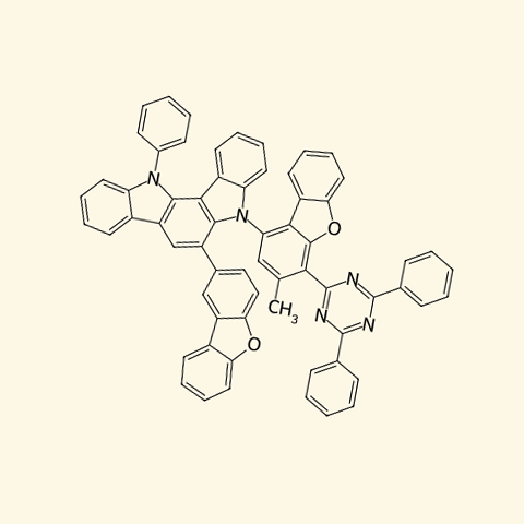 Cc1cc(-n2c3ccccc3c3c2c(-c2ccc4oc5ccccc5c4c2)cc2c4ccccc4n(-c4ccccc4)c23)c2c(oc3ccccc32)c1-c1nc(-c2ccccc2)nc(-c2ccccc2)n1